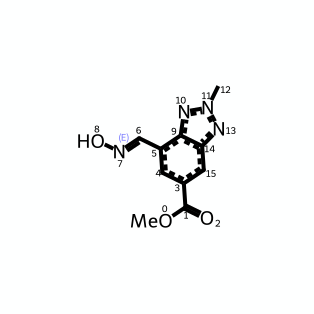 COC(=O)c1cc(/C=N/O)c2nn(C)nc2c1